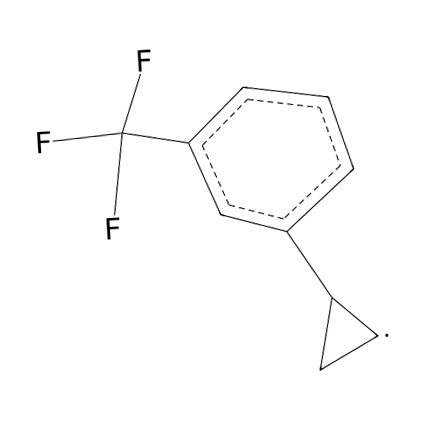 FC(F)(F)c1cccc(C2[CH]C2)c1